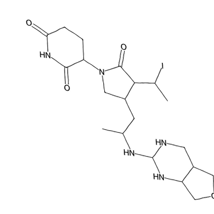 CC(CC1CN(C2CCC(=O)NC2=O)C(=O)C1C(C)I)NC1NCC2COCC2N1